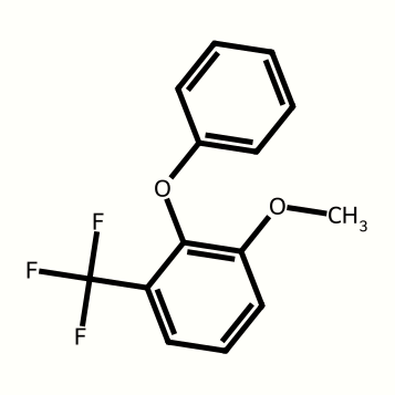 COc1cccc(C(F)(F)F)c1Oc1ccccc1